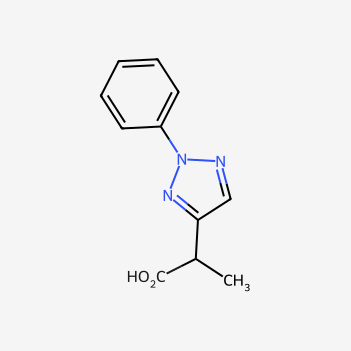 CC(C(=O)O)c1cnn(-c2ccccc2)n1